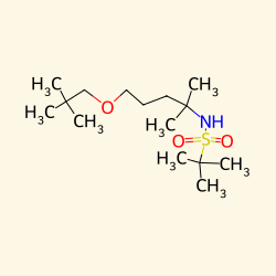 CC(C)(C)COCCCC(C)(C)NS(=O)(=O)C(C)(C)C